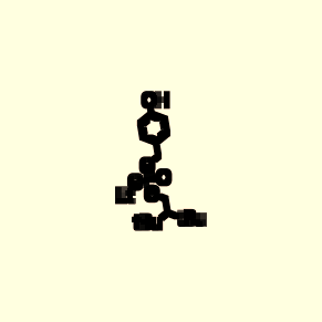 CCOP(=O)(OCc1ccc(O)cc1)OCC(C(C)(C)C)C(C)(C)C